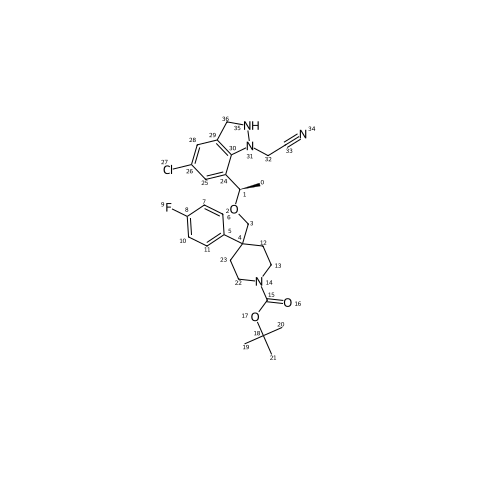 C[C@@H](OCC1(c2ccc(F)cc2)CCN(C(=O)OC(C)(C)C)CC1)c1cc(Cl)cc2c1N(CC#N)NC2